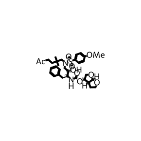 COc1ccc(S(=O)(=O)N(C[C@@H](O)[C@H](Cc2ccccc2)NC(=O)O[C@H]2CO[C@H]3OCC[C@H]32)CC(C)(C)CCC(C)=O)cc1